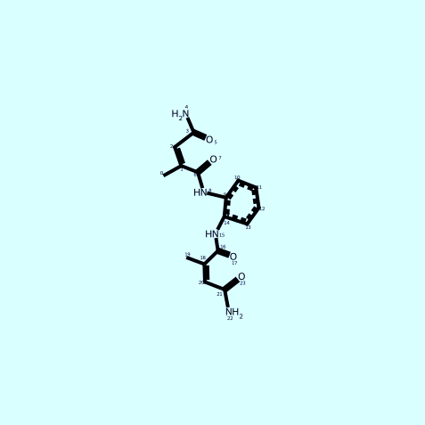 C/C(=C/C(N)=O)C(=O)Nc1ccccc1NC(=O)/C(C)=C\C(N)=O